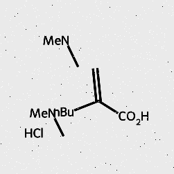 C=C(CCCC)C(=O)O.CNC.CNC.Cl